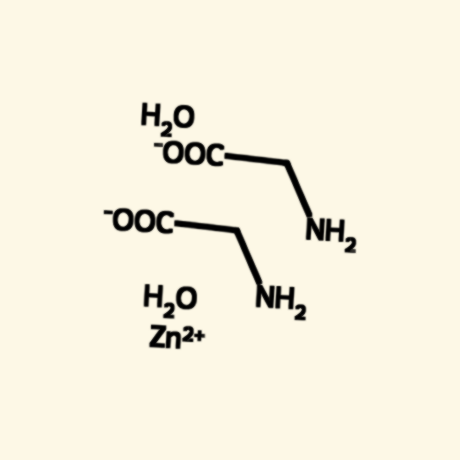 NCC(=O)[O-].NCC(=O)[O-].O.O.[Zn+2]